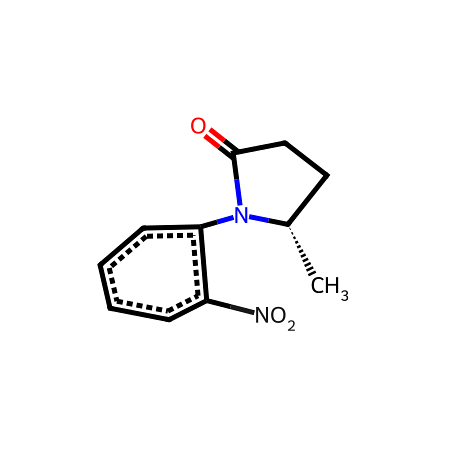 C[C@H]1CCC(=O)N1c1ccccc1[N+](=O)[O-]